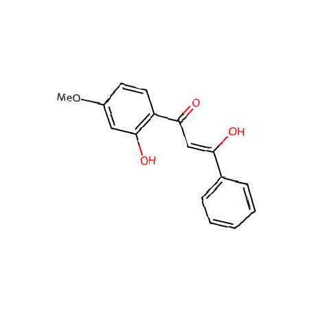 COc1ccc(C(=O)C=C(O)c2ccccc2)c(O)c1